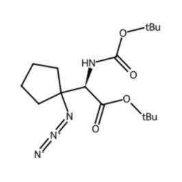 CC(C)(C)OC(=O)N[C@@H](C(=O)OC(C)(C)C)C1(N=[N+]=[N-])CCCC1